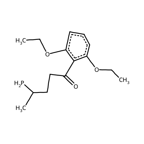 CCOc1cccc(OCC)c1C(=O)CCC(C)P